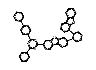 c1ccc(-c2ccc(-c3nc(-c4ccccc4)nc(-c4ccc5c(c4)oc4cc(-c6ccccc6-c6cccc7c6sc6ccccc67)ccc45)n3)cc2)cc1